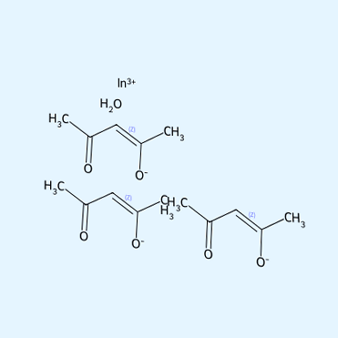 CC(=O)/C=C(/C)[O-].CC(=O)/C=C(/C)[O-].CC(=O)/C=C(/C)[O-].O.[In+3]